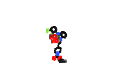 CC(C)(C)OC(=O)N1CCC(CCN2c3ccccc3N(c3cccc(F)c3F)S2(O)O)CC1